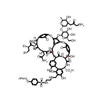 CCCCCOc1ccc(S(=O)(=O)NCCNCc2c(O)cc3c(c2O)-c2cc(ccc2O)[C@H]2CC(=O)[C@@H]4NC(=O)[C@H](CC(N)=O)CC(=O)[C@H](NC(=O)[C@H](CC)CC(C)C)[C@H](O)c5ccc(c(Cl)c5)Oc5cc4cc(c5O[C@@H]4O[C@H](CO)[C@@H](O)[C@H](O)[C@H]4O[C@H]4C[C@](C)(CC(=O)CN)[C@H](O)[C@H](C)O4)Oc4ccc(cc4Cl)[C@@H](O)[C@H](NC2=O)C(=O)N[C@@H]3C(=O)O)cc1